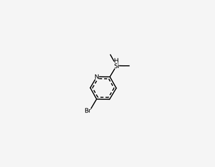 C[SiH](C)c1ccc(Br)cn1